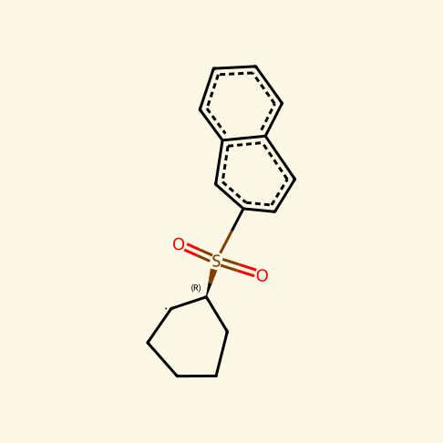 O=S(=O)(c1ccc2ccccc2c1)[C@@H]1[CH]CCCC1